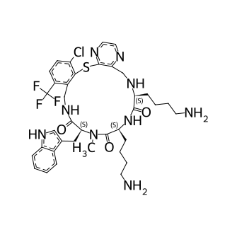 CN1C(=O)[C@H](CCCCN)NC(=O)[C@H](CCCCN)NCc2nccnc2Sc2c(Cl)ccc(C(F)(F)F)c2CNC(=O)[C@@H]1Cc1c[nH]c2ccccc12